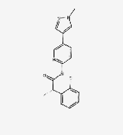 C[C@H](C(=O)Nc1ccc(-c2cnn(C)c2)cn1)c1ccccc1Cl